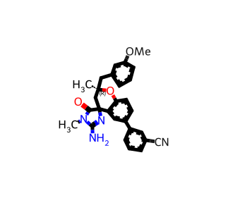 COc1cccc(C[C@]2(C)CC3(N=C(N)N(C)C3=O)c3cc(-c4cccc(C#N)c4)ccc3O2)c1